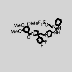 COc1cc(C(=O)N2CCC(CCN3CCC(Nc4nc5ccccc5n4CCOC(F)(F)F)CC3)(c3ccc(F)c(F)c3)C2)cc(OC)c1OC